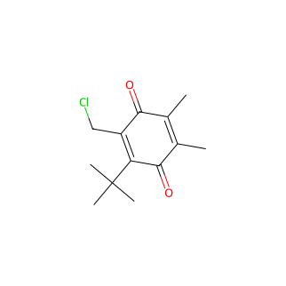 CC1=C(C)C(=O)C(C(C)(C)C)=C(CCl)C1=O